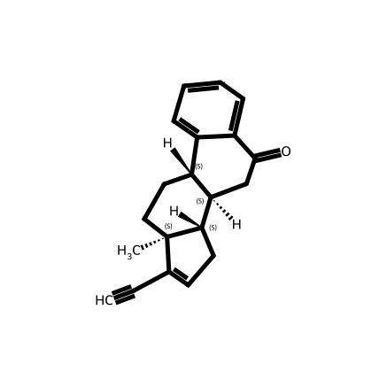 C#CC1=CC[C@H]2[C@@H]3CC(=O)c4c[c]ccc4[C@H]3CC[C@]12C